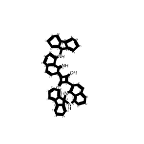 N=C1/C(=C2/C(=O)C(c3ccc4cccc5c4c3NC3(N5)c4ccccc4-c4ccccc43)=C2O)C=Cc2cccc(NC3c4ccccc4-c4ccccc43)c21